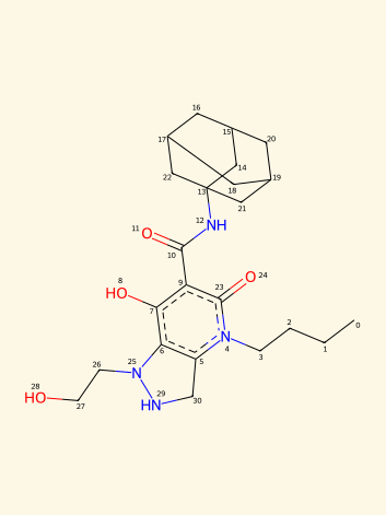 CCCCn1c2c(c(O)c(C(=O)NC34CC5CC(CC(C5)C3)C4)c1=O)N(CCO)NC2